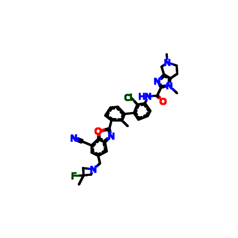 Cc1c(-c2nc3cc(CN4CC(C)(F)C4)cc(C#N)c3o2)cccc1-c1cccc(NC(=O)c2nc3c(n2C)CCN(C)C3)c1Cl